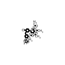 C=C(C)O[C@H]1[C@H](OC(C)=O)[C@@H](OC(C)=O)C(c2ccc(Cl)c(Cc3ccc(OS(=O)(=O)C(F)(F)F)cc3)c2)O[C@@H]1COC(C)=O